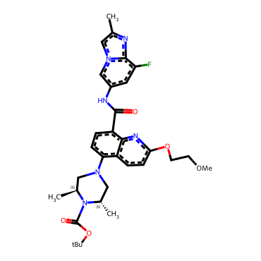 COCCOc1ccc2c(N3C[C@H](C)N(C(=O)OC(C)(C)C)[C@@H](C)C3)ccc(C(=O)Nc3cc(F)c4nc(C)cn4c3)c2n1